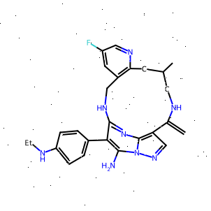 C=C1NCC(C)Cc2ncc(F)cc2CNc2nc3c1cnn3c(N)c2-c1ccc(NCC)cc1